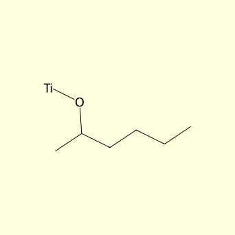 CCCCC(C)[O][Ti]